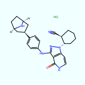 Cl.N#C[C@H]1CCCC[C@@H]1n1nc(Nc2ccc([C@H]3C[C@H]4CC[C@@H](C3)N4)cc2)c2c(=O)[nH]ccc21